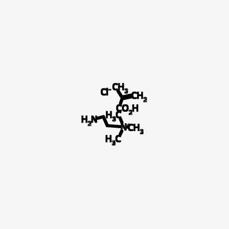 C=C(C)C(=O)O.C[N+](C)(C)CCN.[Cl-]